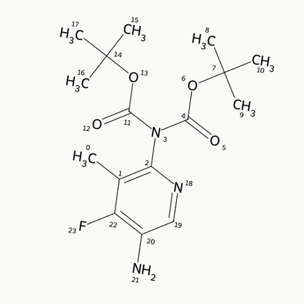 Cc1c(N(C(=O)OC(C)(C)C)C(=O)OC(C)(C)C)ncc(N)c1F